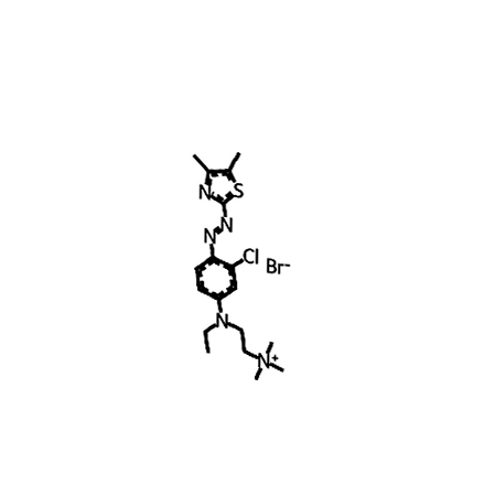 CCN(CC[N+](C)(C)C)c1ccc(N=Nc2nc(C)c(C)s2)c(Cl)c1.[Br-]